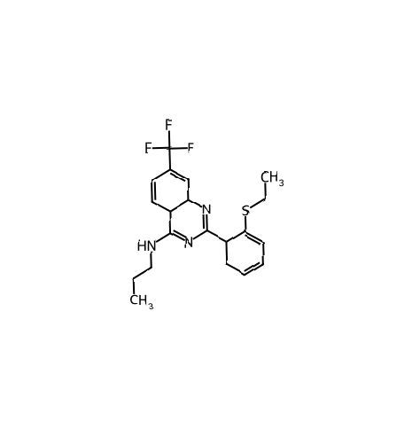 CCCNC1=NC(C2CC=CC=C2SCC)=NC2C=C(C(F)(F)F)C=CC12